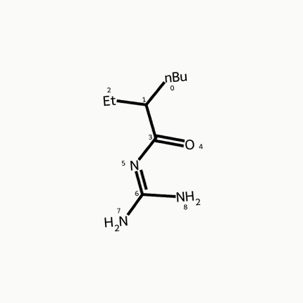 CCCCC(CC)C(=O)N=C(N)N